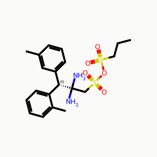 CCCS(=O)(=O)OS(=O)(=O)CC(N)(N)[C@@H](c1cccc(C)c1)c1ccccc1C